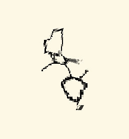 Cc1c(-c2ccc(Cl)cc2F)c(=O)n2n1CCCCC2